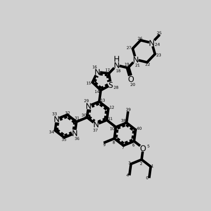 CCC(CC)Oc1cc(C)c(-c2cc(-c3cnc(NC(=O)N4CCN(C)CC4)s3)nc(-c3cnccn3)n2)c(C)c1